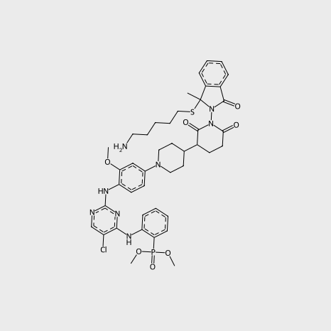 COc1cc(N2CCC(C3CCC(=O)N(N4C(=O)c5ccccc5C4(C)SCCCCCN)C3=O)CC2)ccc1Nc1ncc(Cl)c(Nc2ccccc2P(=O)(OC)OC)n1